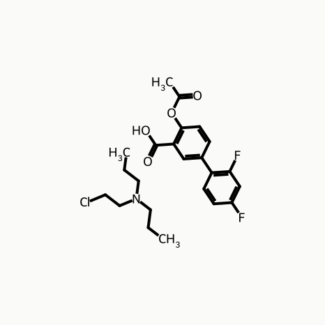 CC(=O)Oc1ccc(-c2ccc(F)cc2F)cc1C(=O)O.CCCN(CCC)CCCl